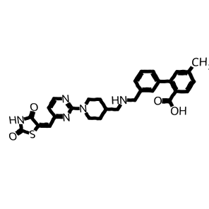 Cc1ccc(C(=O)O)c(-c2cccc(CNCC3CCN(c4nccc(C=C5SC(=O)NC5=O)n4)CC3)c2)c1